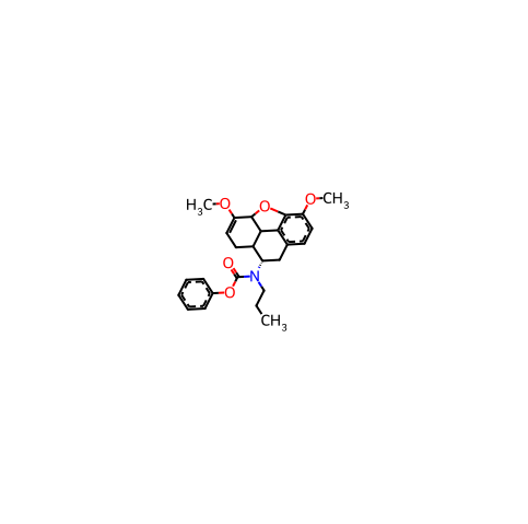 CCCN(C(=O)Oc1ccccc1)[C@H]1Cc2ccc(OC)c3c2C2C(O3)C(OC)=CCC21